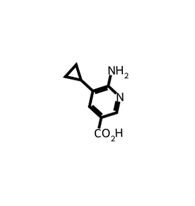 Nc1ncc(C(=O)O)cc1C1CC1